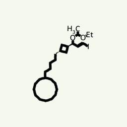 CCOC(C)OC(C=CI)[C@H]1C[C@H](CCCCCC2CCCCCCCCCCC2)C1